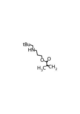 C=C(C)C(=O)OCCCNCC(C)(C)C